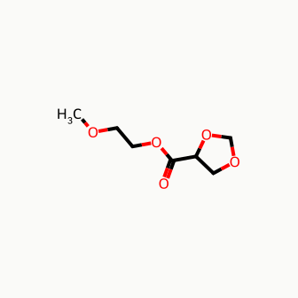 COCCOC(=O)C1COCO1